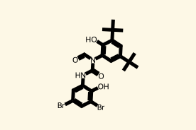 CC(C)(C)c1cc(N([C]=O)C(=O)Nc2cc(Br)cc(Br)c2O)c(O)c(C(C)(C)C)c1